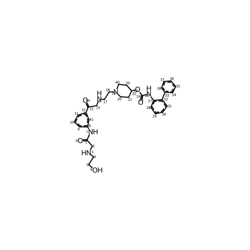 O=C(CNCCO)Nc1cccc(C(=O)CNCCN2CCC(OC(=O)Nc3ccccc3-c3ccccc3)CC2)c1